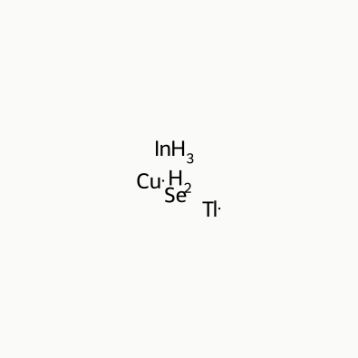 [Cu].[InH3].[SeH2].[Tl]